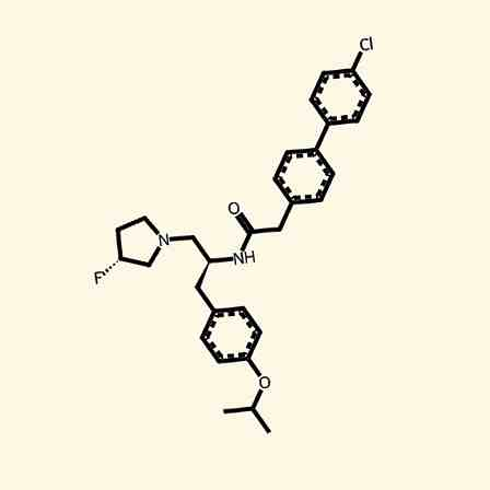 CC(C)Oc1ccc(C[C@@H](CN2CC[C@@H](F)C2)NC(=O)Cc2ccc(-c3ccc(Cl)cc3)cc2)cc1